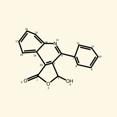 O=C1OC(O)c2c(-c3ccccc3)nc3ccccc3c21